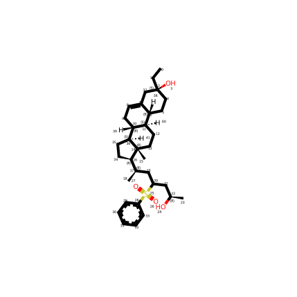 CC[C@]1(O)CC[C@H]2C(=CC[C@@H]3[C@@H]2CC[C@]2(C)[C@@H]([C@H](C)CC(C[C@@H](C)O)S(=O)(=O)c4ccccc4)CC[C@@H]32)C1